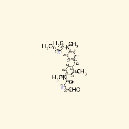 C=C/C=C\C(=C)N(C)c1ccc(CC2CC=C(N(C)C(=O)/C=C\C=O)C=C2C)cc1